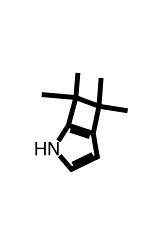 CC1(C)c2cc[nH]c2C1(C)C